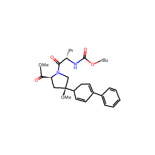 COC(=O)[C@@H]1C[C@@](OC)(C2C=CC(c3ccccc3)=CC2)CN1C(=O)[C@@H](NC(=O)OC(C)(C)C)C(C)C